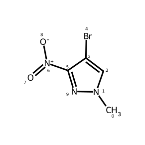 Cn1cc(Br)c([N+](=O)[O-])n1